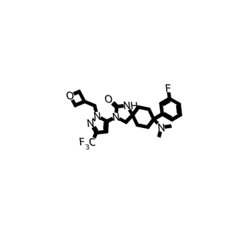 CN(C)C1(c2cccc(F)c2)CCC2(CC1)CN(c1cc(C(F)(F)F)nn1CC1COC1)C(=O)N2